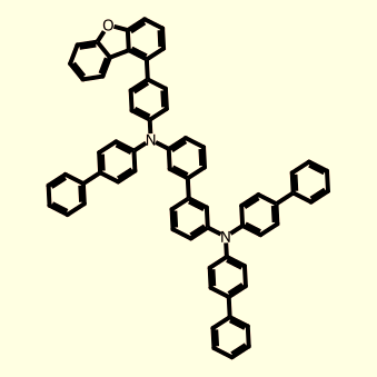 c1ccc(-c2ccc(N(c3ccc(-c4ccccc4)cc3)c3cccc(-c4cccc(N(c5ccc(-c6ccccc6)cc5)c5ccc(-c6cccc7oc8ccccc8c67)cc5)c4)c3)cc2)cc1